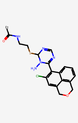 CCC(=O)NCCSC1N=CN=C(c2c(Cl)cc3c4c(cccc24)COC3)N1N